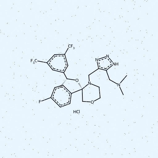 C[C@@H](O[C@@]1(c2ccc(F)cc2)COCCN1Cc1nn[nH]c1CN(C)C)c1cc(C(F)(F)F)cc(C(F)(F)F)c1.Cl